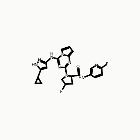 O=C(Nc1ccc(F)nc1)C1CC(F)CN1c1nc(Nc2cc(C3CC3)[nH]n2)n2cccc2n1